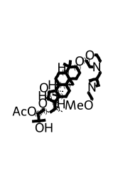 COCCN1CC(CN2CCO[C@@H](O[C@H]3CCC45C[C@]46CC[C@]4(C)[C@H]7[C@H](C)C[C@H]([C@H](OC(C)=O)C(C)(C)O)O[C@@H]7C(=O)[C@@]4(C)[C@@H]6CC[C@H]5C3(C)C)C2)C1